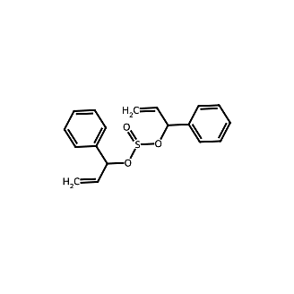 C=CC(OS(=O)OC(C=C)c1ccccc1)c1ccccc1